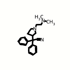 CN(C)CCN1CCC(C(C#N)(c2ccccc2)c2ccccc2)C1